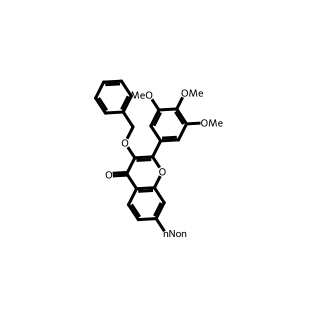 CCCCCCCCCc1ccc2c(=O)c(OCc3ccccc3)c(-c3cc(OC)c(OC)c(OC)c3)oc2c1